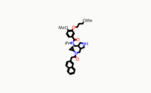 COCCCOc1cc(C(=O)N(CC2CNCC2CN(C(=O)Cc2ccc3ccccc3c2)C2CC2)C(C)C)ccc1OC